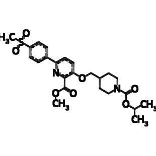 COC(=O)c1nc(-c2ccc(S(C)(=O)=O)cc2)ccc1OCC1CCN(C(=O)OC(C)C)CC1